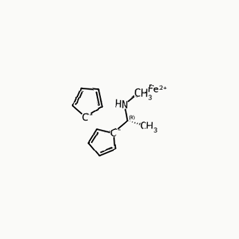 CN[C@H](C)[c-]1cccc1.[Fe+2].c1cc[cH-]c1